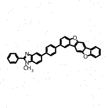 Cn1c(-c2ccccc2)nc2cc(-c3ccc(-c4ccc5oc6cc7c(cc6c5c4)oc4ccccc47)cc3)ccc21